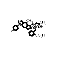 C[C@H](O)CN(C[C@@H]1CCC2=C1[C@@H](C)c1cnn(-c3ccc(F)cc3)c1C2)S(=O)(=O)Cc1ccccc1C(=O)O